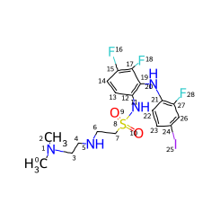 CN(C)CCNCCS(=O)(=O)Nc1ccc(F)c(F)c1Nc1ccc(I)cc1F